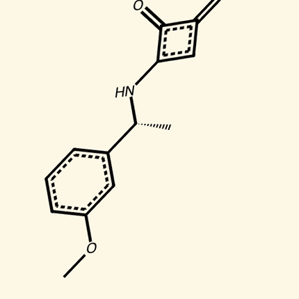 COc1cccc([C@@H](C)Nc2cc(=O)c2=O)c1